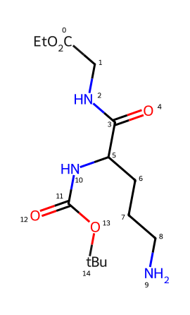 CCOC(=O)CNC(=O)C(CCCN)NC(=O)OC(C)(C)C